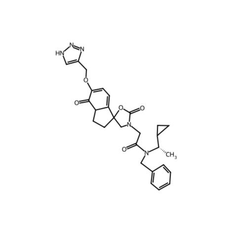 C[C@@H](C1CC1)N(Cc1ccccc1)C(=O)CN1CC2(CCC3C(=O)C(OCc4c[nH]nn4)=CC=C32)OC1=O